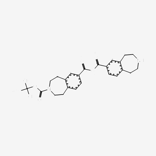 CC(C)(C)OC(=O)N1CCc2ccc(C(=O)OC(=O)c3ccc4c(c3)CCNCC4)cc2CC1